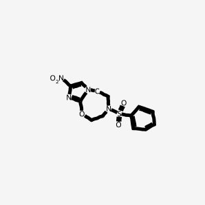 O=[N+]([O-])c1cn2c(n1)OCCN(S(=O)(=O)c1ccccc1)CC2